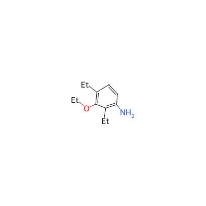 CCOc1c(CC)ccc(N)c1CC